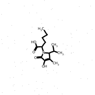 CCCCC(C(=O)O)N1C(=O)C(O)=C(C)C1C(C)C